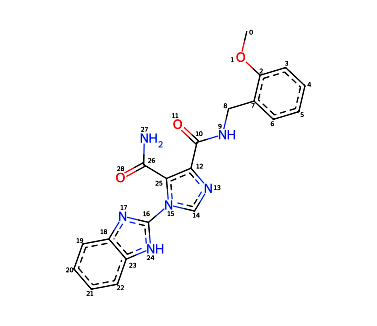 COc1ccccc1CNC(=O)c1ncn(-c2nc3ccccc3[nH]2)c1C(N)=O